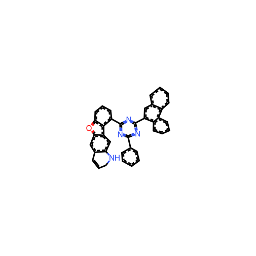 C1=Cc2cc3oc4cccc(-c5nc(-c6ccccc6)nc(-c6cc7ccccc7c7ccccc67)n5)c4c3cc2NC1